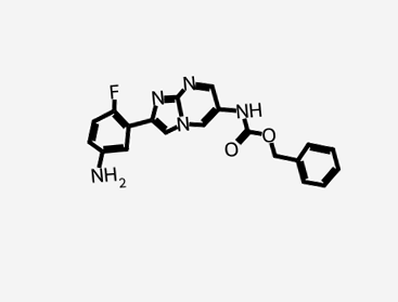 Nc1ccc(F)c(-c2cn3cc(NC(=O)OCc4ccccc4)cnc3n2)c1